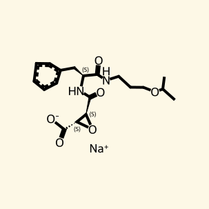 CC(C)OCCCNC(=O)[C@H](Cc1ccccc1)NC(=O)[C@H]1O[C@@H]1C(=O)[O-].[Na+]